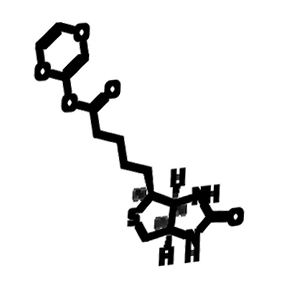 O=C1N[C@H]2[C@H](CS[C@H]2CCCCC(=O)OC2=COC=CO2)N1